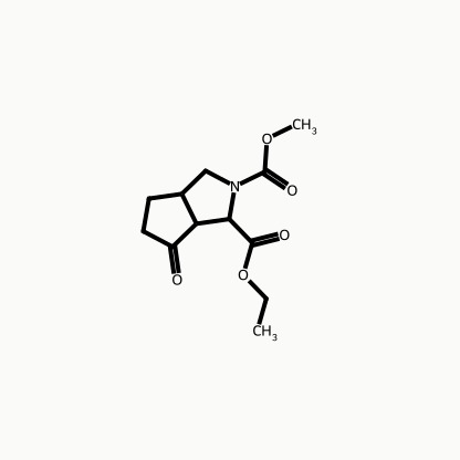 CCOC(=O)C1C2C(=O)CCC2CN1C(=O)OC